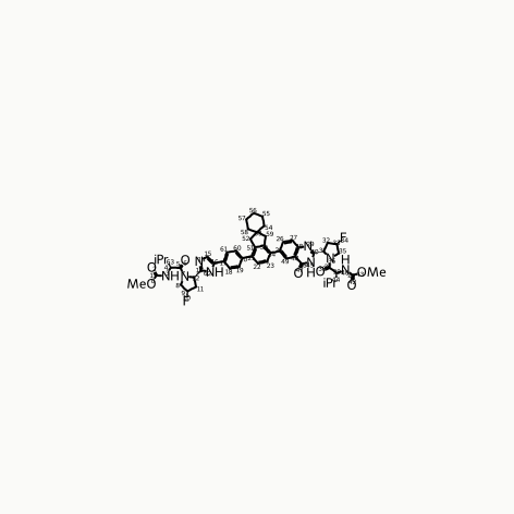 COC(=O)N[C@H](C(=O)N1C[C@H](F)C[C@@H]1c1ncc(-c2ccc(-c3ccc(-c4ccc5nc([C@@H]6C[C@@H](F)CN6C(=O)[C@@H](NC(=O)OC)C(C)C)[nH]c(=O)c5c4)c4c3CC3(CCCCC3)C4)cc2)[nH]1)C(C)C